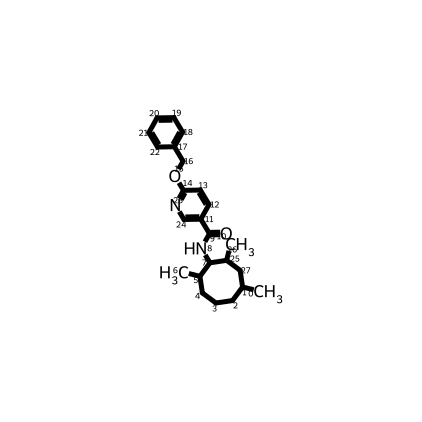 CC1CCCC(C)C(NC(=O)c2ccc(OCc3ccccc3)nc2)C(C)C1